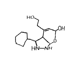 OCCC1=CC(O)OC2NNC(C3CCCCC3)C12